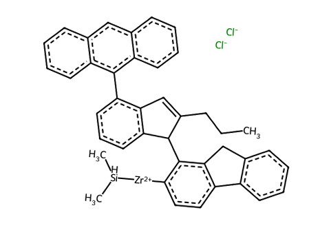 CCCC1=Cc2c(-c3c4ccccc4cc4ccccc34)cccc2C1c1[c]([Zr+2][SiH](C)C)ccc2c1Cc1ccccc1-2.[Cl-].[Cl-]